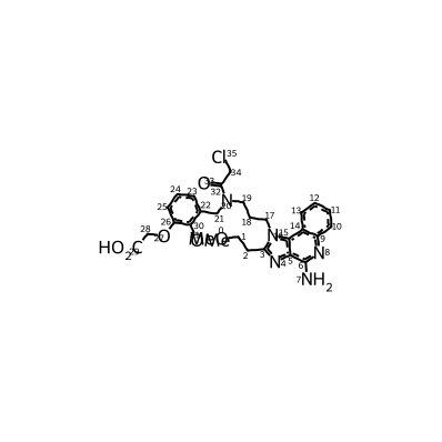 COCCc1nc2c(N)nc3ccccc3c2n1CCCN(Cc1cccc(OCC(=O)O)c1OC)C(=O)CCl